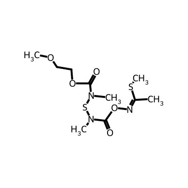 COCCOC(=O)N(C)SN(C)C(=O)ON=C(C)SC